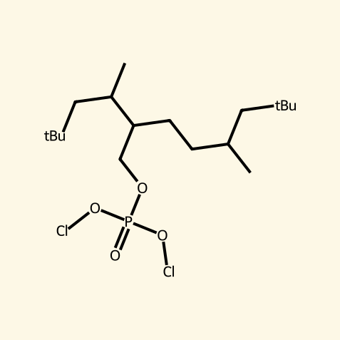 CC(CCC(COP(=O)(OCl)OCl)C(C)CC(C)(C)C)CC(C)(C)C